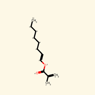 C=C(C)C(=O)O/C=C/CCCCCC